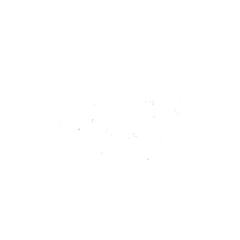 Cc1c[nH]c([C@@H]2[C@H](C)CCN2C(=O)C(=O)N(C2CC2)C2CC2)n1